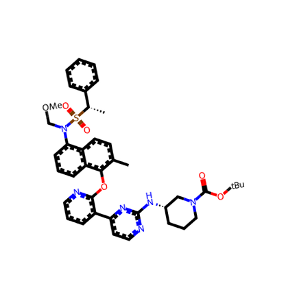 COCN(c1cccc2c(Oc3ncccc3-c3ccnc(N[C@H]4CCCN(C(=O)OC(C)(C)C)C4)n3)c(C)ccc12)S(=O)(=O)[C@@H](C)c1ccccc1